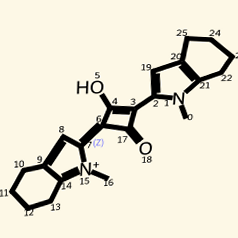 Cn1c(C2=C(O)/C(=C3\C=C4CCCCC4=[N+]3C)C2=O)cc2c1CCCC2